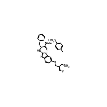 CNC(=O)C(Cc1ccccc1)Nc1nc2ccc(OCC(=CF)CN)cc2o1.Cc1ccc(S(=O)(=O)O)cc1